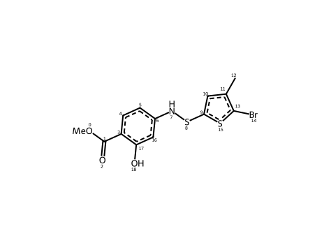 COC(=O)c1ccc(NSc2cc(C)c(Br)s2)cc1O